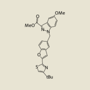 COC(=O)c1nn(Cc2ccc3oc(-c4nc(C(C)(C)C)cs4)cc3c2)c2ccc(OC)cc12